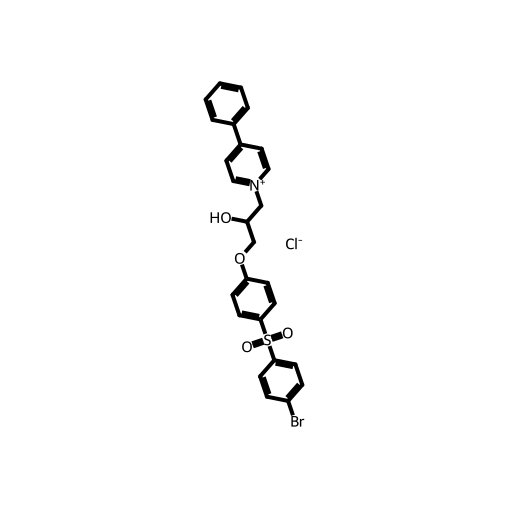 O=S(=O)(c1ccc(Br)cc1)c1ccc(OCC(O)C[n+]2ccc(-c3ccccc3)cc2)cc1.[Cl-]